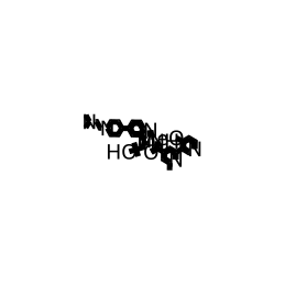 COc1ccncc1-c1cc(C(=O)Nc2nc3ccc(C4CCN(CCN(C)C)CC4)cc3n2CC(C)(C)O)cc(C)n1